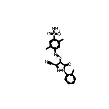 Cc1cc(S(N)(=O)=O)c(C)cc1/N=N/C1C(=O)N(c2ccccc2C)N=C1C#N